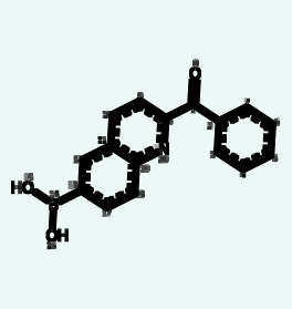 O=C(c1ccccc1)c1ccc2cc(B(O)O)ccc2n1